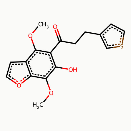 COc1c(C(=O)CCc2ccsc2)c(O)c(OC)c2occc12